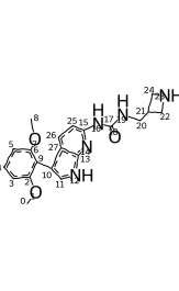 COc1cccc(OC)c1-c1c[nH]c2nc(NC(=O)NCC3CNC3)ccc12